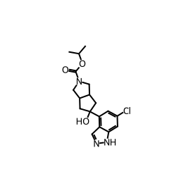 CC(C)OC(=O)N1CC2CC(O)(c3cc(Cl)cc4[nH]ncc34)CC2C1